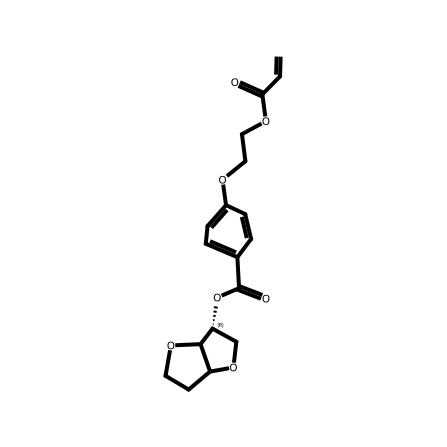 C=CC(=O)OCCOc1ccc(C(=O)O[C@@H]2COC3CCOC32)cc1